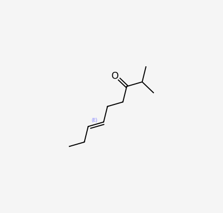 CC/C=C/CCC(=O)C(C)C